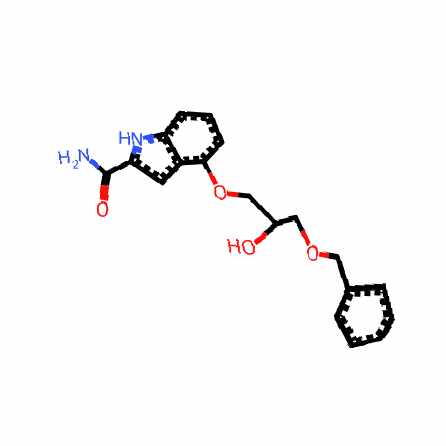 NC(=O)c1cc2c(OCC(O)COCc3ccccc3)cccc2[nH]1